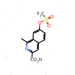 Cc1nc(C(=O)O)cc2ccc(OS(=O)(=O)C(F)(F)F)cc12